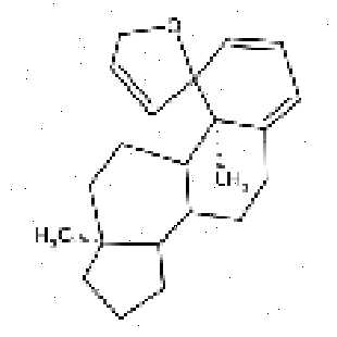 C[C@@]12CCCC1C1CCC3=CC=CC4(C=CCO4)[C@]3(C)C1CC2